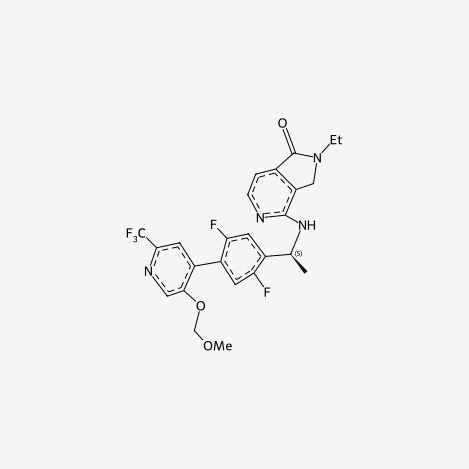 CCN1Cc2c(ccnc2N[C@@H](C)c2cc(F)c(-c3cc(C(F)(F)F)ncc3OCOC)cc2F)C1=O